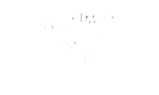 CCC(COC)OC(=O)Cl